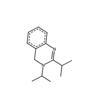 CC(C)C1=Nc2ccccc2CN1C(C)C